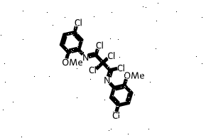 COc1ccc(Cl)cc1N=C(Cl)C(Cl)(Cl)C(Cl)=Nc1cc(Cl)ccc1OC